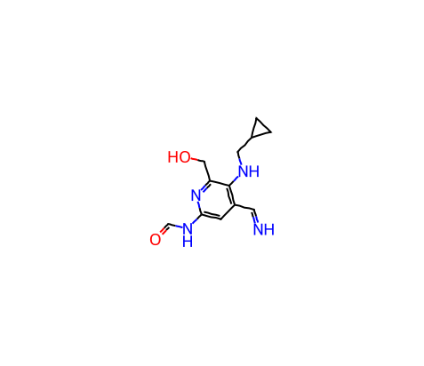 N=Cc1cc(NC=O)nc(CO)c1NCC1CC1